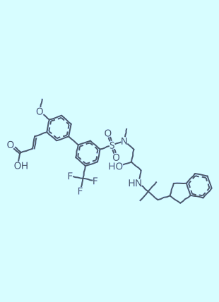 COc1ccc(-c2cc(C(F)(F)F)cc(S(=O)(=O)N(C)CC(O)CNC(C)(C)CC3Cc4ccccc4C3)c2)cc1C=CC(=O)O